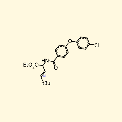 CCOC(=O)C(/C=C/C(C)(C)C)NC(=O)c1ccc(Oc2ccc(Cl)cc2)cc1